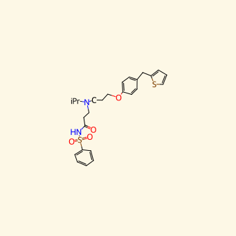 CC(C)N(CCCOc1ccc(Cc2cccs2)cc1)CCC(=O)NS(=O)(=O)c1ccccc1